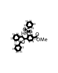 COC(=O)c1ccc(C(Cc2ccccc2)OCc2ccccc2)c(NS(=O)(=O)c2ccccc2)c1